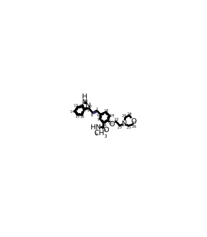 CNC(=O)c1cc(/C=C/c2n[nH]c3ccccc23)ccc1OCCN1CCOCC1